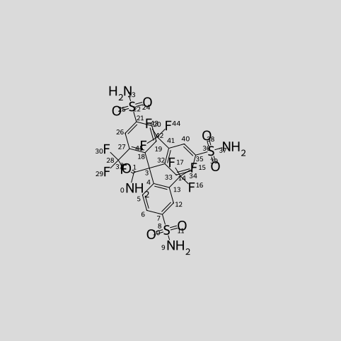 NC(=O)C(c1ccc(S(N)(=O)=O)cc1C(F)(F)F)(c1ccc(S(N)(=O)=O)cc1C(F)(F)F)c1ccc(S(N)(=O)=O)cc1C(F)(F)F